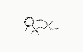 CCP(=O)(COS(=O)(=O)c1c(F)cccc1SC)OC(C)C